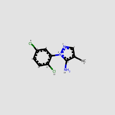 [C-]#[N+]c1cnn(-c2cc(Cl)ccc2Cl)c1N